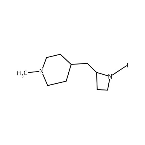 CN1CCC(CC2CCN2I)CC1